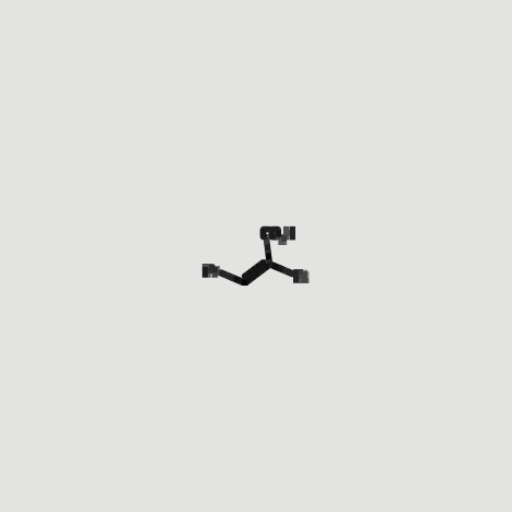 [CH2]CC(=CC(C)C)C(=O)O